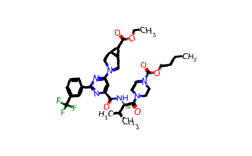 CCCCOC(=O)N1CCN(C(=O)[C@@H](NC(=O)c2cc(N3CC4C(C3)C4C(=O)OCC)nc(-c3cccc(C(F)(F)F)c3)n2)C(C)C)CC1